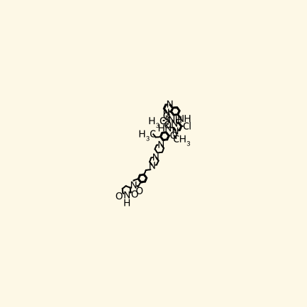 CCc1cc(Nc2ncc(Cl)c(Nc3ccc4nccnc4c3NS(C)(=O)=O)n2)c(OC)cc1N1CCC(N2CCN(CCc3ccc4c(c3)CN(C3CCC(=O)NC3=O)C4=O)CC2)CC1